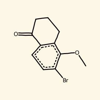 COc1c(Br)ccc2c1CCCC2=O